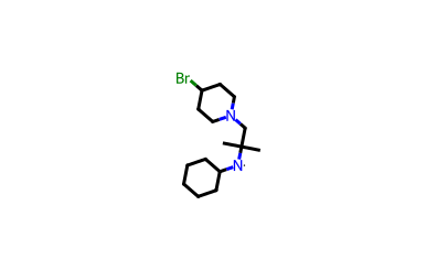 CC(C)(CN1CCC(Br)CC1)[N]C1CCCCC1